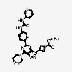 CC(C)(C)OC(=O)N1CC(n2nnc3c(N4CCOCC4)nc(-c4ccc(NC(=O)Nc5cccnc5)cc4)nc32)C1